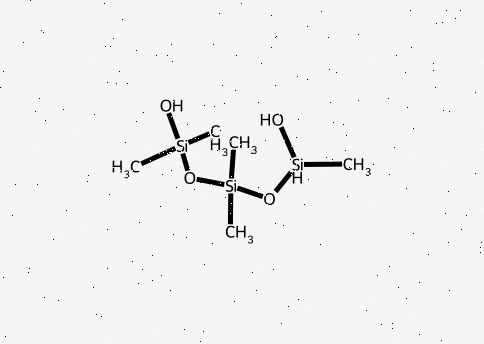 C[SiH](O)O[Si](C)(C)O[Si](C)(C)O